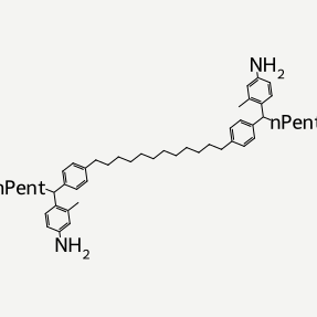 CCCCCC(c1ccc(CCCCCCCCCCCCc2ccc(C(CCCCC)c3ccc(N)cc3C)cc2)cc1)c1ccc(N)cc1C